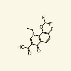 CCn1cc(C(=O)O)c(=O)c2ccc(F)c(OC(F)F)c21